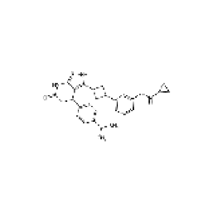 CC(C)c1ccc(C2CC(=O)Nc3n[nH]c(C4CC(c5cccc(CNC6CC6)c5)C4)c32)cc1